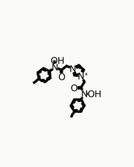 Cc1ccc(N(O)C(=O)Cn2cc[n+](CC(=O)N(O)c3ccc(C)cc3)c2)cc1